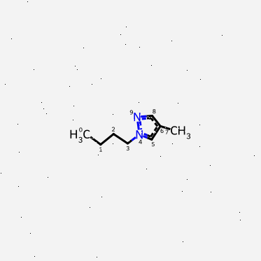 CCCCn1cc(C)cn1